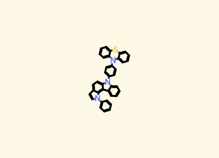 c1ccc(-n2ccc3ccc4c(c5ccccc5n4-c4ccc(N5c6ccccc6Sc6ccccc65)cc4)c32)cc1